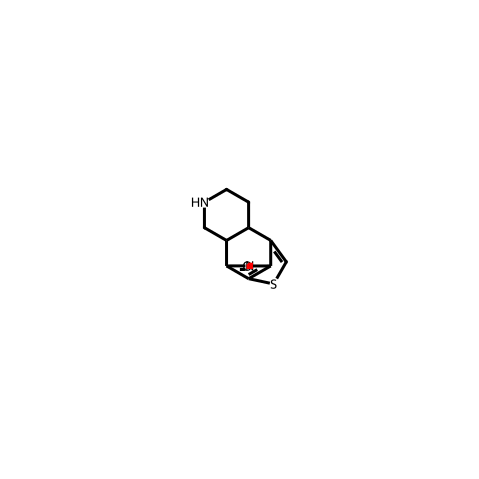 c1sc2c3noc2c1C1CCNCC31